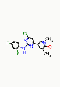 Cc1cc(-c2cc(Cl)nc(Nc3ccc(F)cc3F)n2)cn(C)c1=O